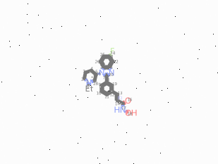 CCN1CCC[C@@H](n2c(-c3cccc(/C=C/C(=O)NO)c3)nc3cc(F)ccc32)C1